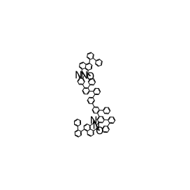 O=c1c2ccc(-c3ccccc3-c3ccccc3)c3cccc(c32)c2nc3ccc(-c4cccc(-c5ccccc5-c5cccc(-c6ccc(-c7cc(-c8ccccc8-c8ccccc8)cc8c7nc7c9ccc(-c%10ccccc%10-c%10ccccc%10)c%10cccc(c(=O)n87)c%109)c(-c7ccccc7)c6)c5)c4-c4ccccc4)cc3n12